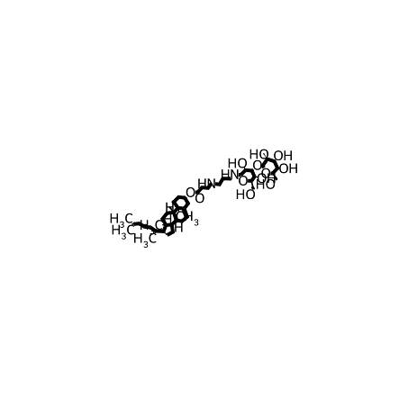 CC(C)CCC[C@@H](C)[C@H]1CC[C@H]2[C@@H]3CC=C4CC(OC(=O)CCNCCCNC5O[C@H](CO)[C@@H](O)[C@H](O[C@@H]6O[C@H](CO)[C@@H](O)[C@H](O)[C@H]6O)[C@H]5O)CC[C@]4(C)[C@H]3CC[C@]12C